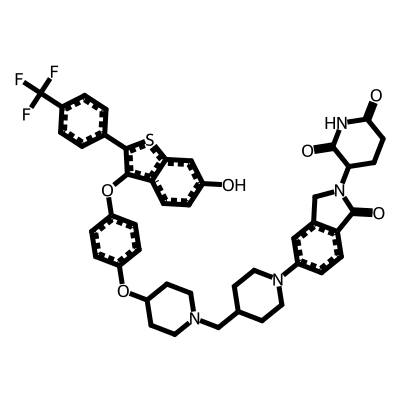 O=C1CCC(N2Cc3cc(N4CCC(CN5CCC(Oc6ccc(Oc7c(-c8ccc(C(F)(F)F)cc8)sc8cc(O)ccc78)cc6)CC5)CC4)ccc3C2=O)C(=O)N1